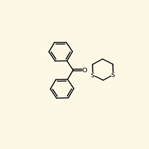 C1CSCSC1.O=C(c1ccccc1)c1ccccc1